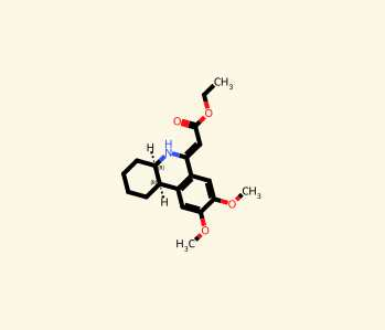 CCOC(=O)C=C1N[C@@H]2CCCC[C@@H]2c2cc(OC)c(OC)cc21